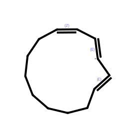 [C]1=C/C=C\CCCCCCC/C=C/1